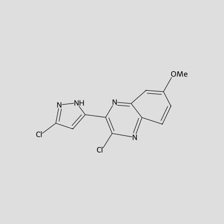 COc1ccc2nc(Cl)c(-c3cc(Cl)n[nH]3)nc2c1